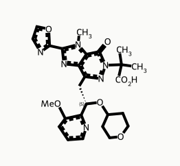 COc1cccnc1[C@H](Cc1nn(C(C)(C)C(=O)O)c(=O)c2c1nc(-c1ncco1)n2C)OC1CCOCC1